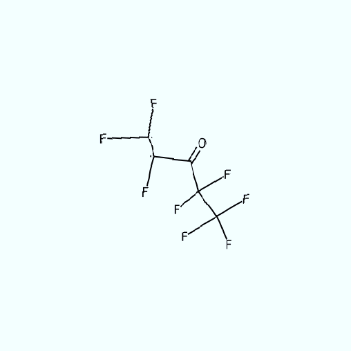 O=C([C](F)[C](F)F)C(F)(F)C(F)(F)F